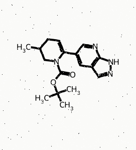 CC1CC=C(c2cnc3[nH]ncc3c2)N(C(=O)OC(C)(C)C)C1